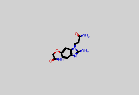 NC(=O)CCn1c(N)nc2cc3c(cc21)OCC(=O)N3